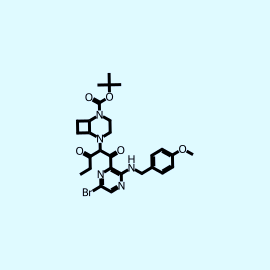 CCC(=O)C(C(=O)c1nc(Br)cnc1NCc1ccc(OC)cc1)N1CCN(C(=O)OC(C)(C)C)C2CCC21